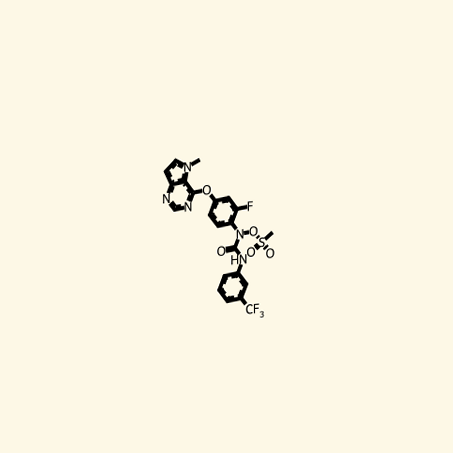 Cn1ccc2ncnc(Oc3ccc(N(OS(C)(=O)=O)C(=O)Nc4cccc(C(F)(F)F)c4)c(F)c3)c21